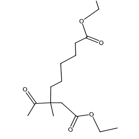 CCOC(=O)CCCCCC(C)(CC(=O)OCC)C(C)=O